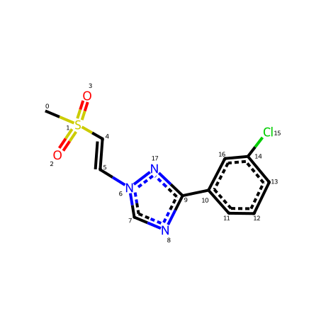 CS(=O)(=O)C=Cn1cnc(-c2cccc(Cl)c2)n1